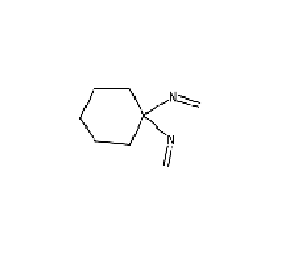 C=NC1(N=C)CCCCC1